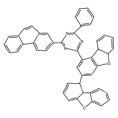 C1=CC2Oc3cc(C4C=CC=C5Oc6ccccc6C54)cc(-c4nc(-c5ccccc5)nc(-c5ccc6c(ccc7ccccc76)c5)n4)c3C2C=C1